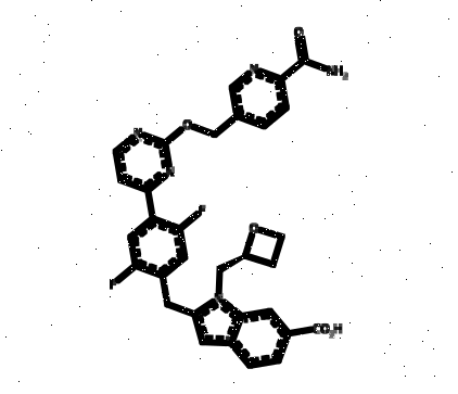 NC(=O)c1ccc(COc2nccc(-c3cc(F)c(Cc4cc5ccc(C(=O)O)cc5n4C[C@@H]4CCO4)cc3F)n2)cn1